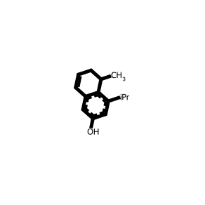 CC(C)c1cc(O)cc2c1C(C)CC=C2